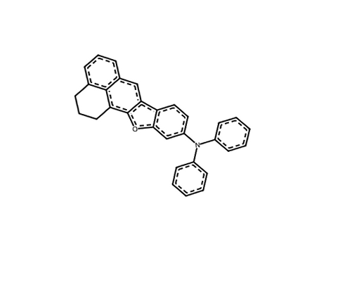 c1ccc(N(c2ccccc2)c2ccc3c(c2)oc2c4c5c(cccc5cc23)CCC4)cc1